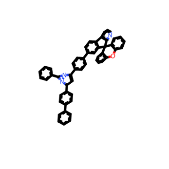 C1=C(c2ccc(-c3ccc4c(c3)C3(c5ccccc5Oc5ccccc53)c3ncccc3-4)cc2)N2C(c3ccccc3)N2C1c1ccc(-c2ccccc2)cc1